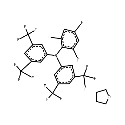 C1CCOC1.Fc1cc(F)c(B(c2cc(C(F)(F)F)cc(C(F)(F)F)c2)c2cc(C(F)(F)F)cc(C(F)(F)F)c2)c(F)c1